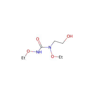 CCONC(=O)N(CCO)OCC